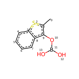 Cc1sc2ccccc2c1OB(O)O